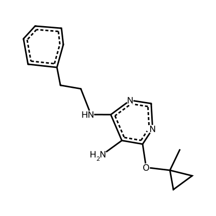 CC1(Oc2ncnc(NCCc3ccccc3)c2N)CC1